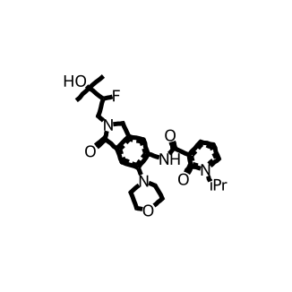 CC(C)n1cccc(C(=O)Nc2cc3c(cc2N2CCOCC2)C(=O)N(CC(F)C(C)(C)O)C3)c1=O